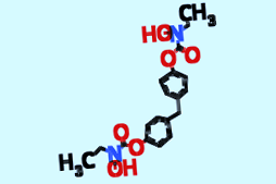 CCN(O)C(=O)Oc1ccc(Cc2ccc(OC(=O)N(O)CC)cc2)cc1